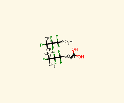 CC(O)O.O=S(=O)(O)C(F)(F)C(F)(F)C(F)(C(F)(F)F)C(F)(F)F.O=S(=O)(O)C(F)(F)C(F)(F)C(F)(C(F)(F)F)C(F)(F)F